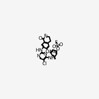 COc1cc2c(cc1Nc1ncc(Cl)c(Nc3ccc(OS(=O)(=O)F)cc3C)n1)C(=O)N(C)CC2